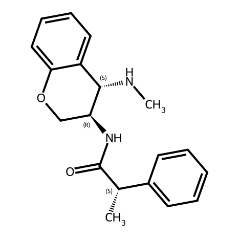 CN[C@H]1c2ccccc2OC[C@@H]1NC(=O)[C@@H](C)c1ccccc1